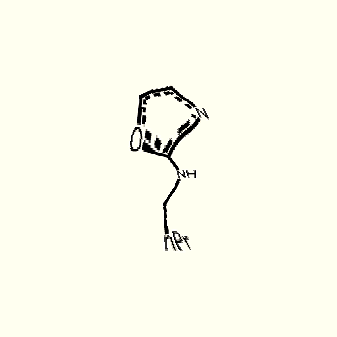 CCCCNc1ncco1